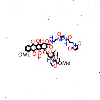 COc1cccc2c1C(=O)c1c(O)c3c(c(O)c1C2=O)C[C@@](O)(C(=O)NCCNC(=O)[C@H](C)NC(=O)CCN1C(=O)C=CC1=O)C[C@@H]3O[C@H]1C[C@H]2[C@H](O[C@@H]3[C@@H](OC)OCCN32)[C@H](C)O1